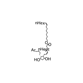 CCCCCC/C=C\CCCCCCCCOC(=O)CCC/C=C\C[C@@H]1[C@@H](CC[C@H](CCCCCCC)CC(C)=O)[C@H](O)C[C@@H]1O